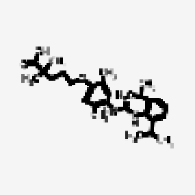 Cc1cc(OCCCC(C)(C)C(=O)O)c(C)cc1NC(=O)Nc1c(C(C)C)cccc1C(C)C